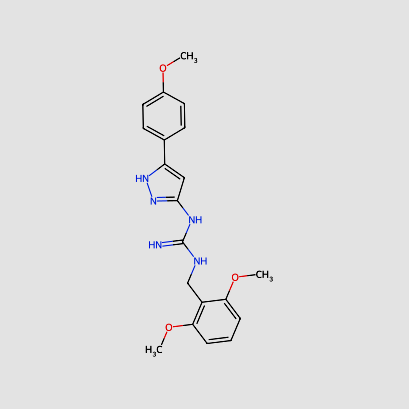 COc1ccc(-c2cc(NC(=N)NCc3c(OC)cccc3OC)n[nH]2)cc1